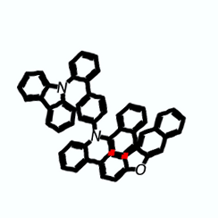 c1ccc(N(c2ccc(-c3ccccc3-n3c4ccccc4c4ccccc43)cc2)c2cccc3ccccc23)c(-c2ccc3oc4cc5ccccc5cc4c3c2)c1